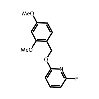 COc1ccc(COc2cccc(F)n2)c(OC)c1